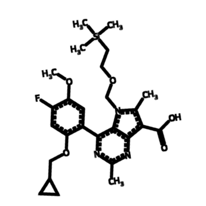 COc1cc(-c2nc(C)nc3c(C(=O)O)c(C)n(COCC[Si](C)(C)C)c23)c(OCC2CC2)cc1F